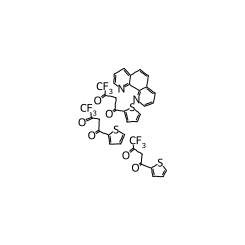 O=C(CC(=O)C(F)(F)F)c1cccs1.O=C(CC(=O)C(F)(F)F)c1cccs1.O=C(CC(=O)C(F)(F)F)c1cccs1.c1cnc2c(c1)ccc1cccnc12